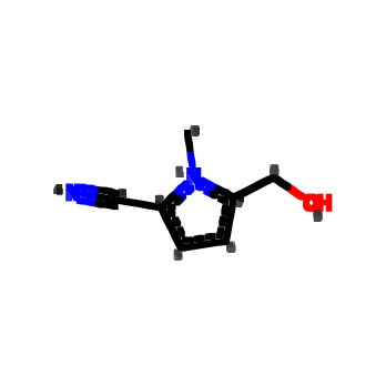 Cn1c(C#N)ccc1CO